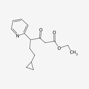 CCOC(=O)CC(=O)C(CCC1CC1)c1ccccn1